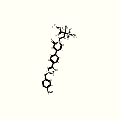 CNc1ccc(Cn2cc(-c3ccc(-c4ccn(CCC(C)(C(=O)NO)S(C)(=O)=O)c(=O)c4)cc3)nn2)cc1